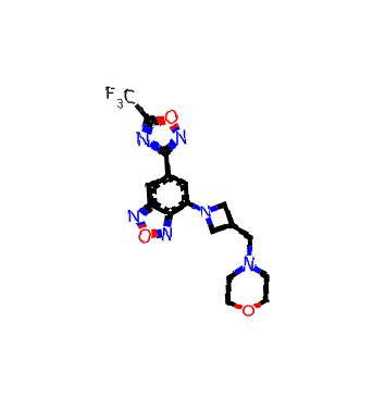 FC(F)(F)c1nc(-c2cc(N3CC(CN4CCOCC4)C3)c3nonc3c2)no1